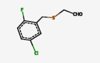 O=CCSCc1cc(Cl)ccc1F